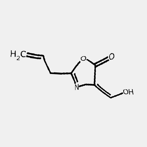 C=CCC1=N/C(=C/O)C(=O)O1